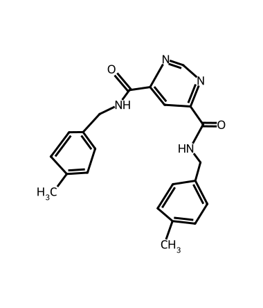 Cc1ccc(CNC(=O)c2cc(C(=O)NCc3ccc(C)cc3)ncn2)cc1